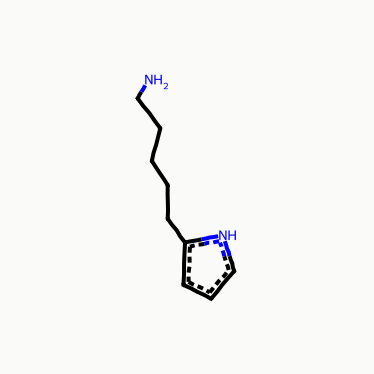 NCCCCCc1ccc[nH]1